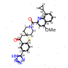 COc1cc(C(=O)N2CCC3(CC2)CC(=O)c2cc(-c4nnn[nH]4)ccc2S3)nc2c(C3CC3)cccc12